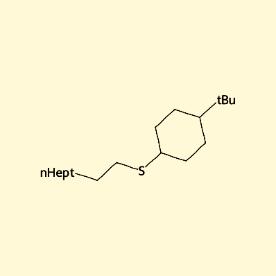 CCCCCCCCCSC1CCC(C(C)(C)C)CC1